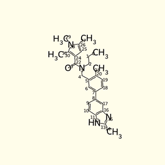 CCCN(Cc1cc(-c2ccc3[nH]c(C)nc3c2)ccc1C)C(=O)c1cc(C)n(C)c1C